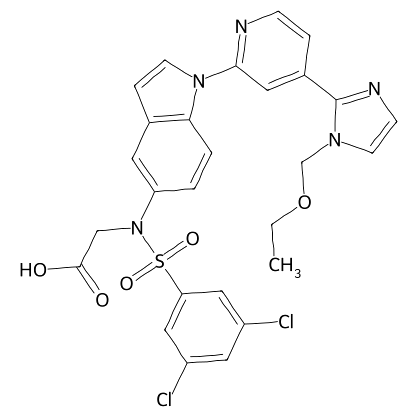 CCOCn1ccnc1-c1ccnc(-n2ccc3cc(N(CC(=O)O)S(=O)(=O)c4cc(Cl)cc(Cl)c4)ccc32)c1